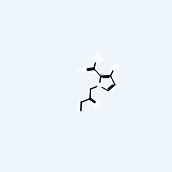 CCC(=O)Cn1ccc(Cl)c1C(=O)O